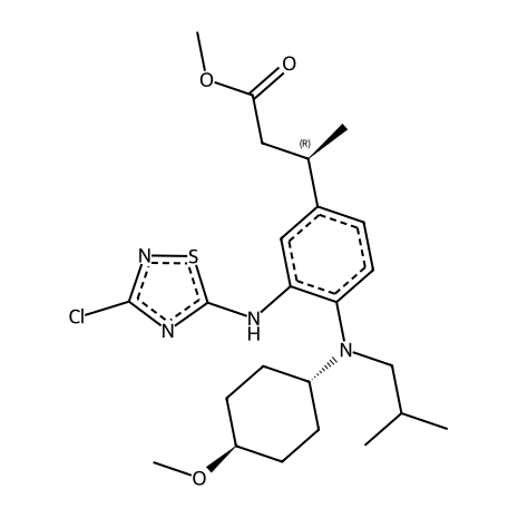 COC(=O)C[C@@H](C)c1ccc(N(CC(C)C)[C@H]2CC[C@H](OC)CC2)c(Nc2nc(Cl)ns2)c1